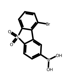 O=S1(=O)c2ccc(B(O)O)cc2-c2c(Br)cccc21